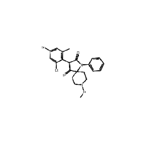 CON1CCC2(CC1)C(=O)C(c1c(C)cc(Br)cc1Cl)C(=O)N2c1ccccc1